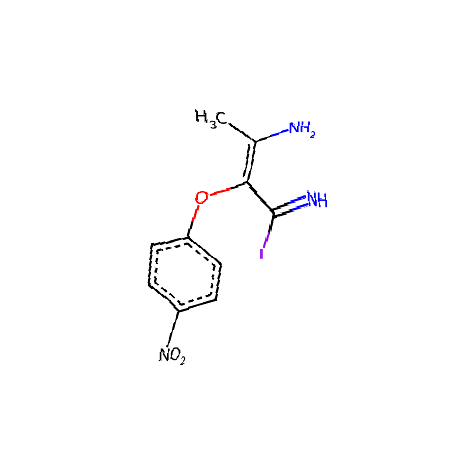 C/C(N)=C(\Oc1ccc([N+](=O)[O-])cc1)C(=N)I